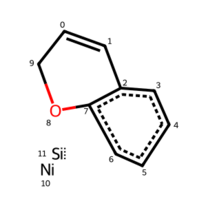 C1=Cc2ccccc2OC1.[Ni].[Si]